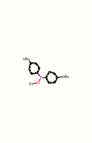 CCCCc1ccc(P(OCC)c2ccc(CCCC)cc2)cc1